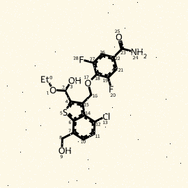 CCOC(O)c1sc2c(CO)ccc(Cl)c2c1COc1c(F)cc(C(N)=O)cc1F